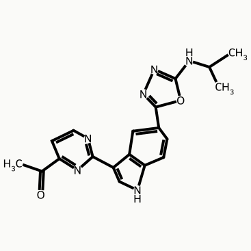 CC(=O)c1ccnc(-c2c[nH]c3ccc(-c4nnc(NC(C)C)o4)cc23)n1